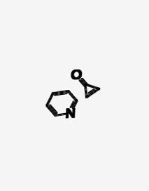 O=c1cc1.c1ccncc1